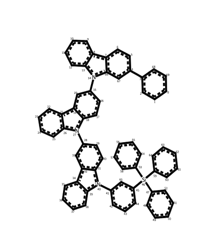 c1ccc(-c2ccc3c4ccccc4n(-c4ccc5c(c4)c4ccccc4n5-c4ccc5c(c4)c4ccccc4n5-c4cccc([Si](c5ccccc5)(c5ccccc5)c5ccccc5)c4)c3c2)cc1